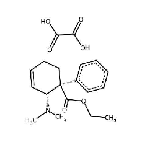 CCOC(=O)[C@]1(c2ccccc2)CCC=C[C@H]1N(C)C.O=C(O)C(=O)O